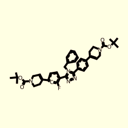 CC(C)(C)OC(=O)N1CC=C(c2ccc(-c3nnc(-c4ccc(C5=CCN(C(=O)OC(C)(C)C)CC5)cc4F)n3Cc3ccccc3)cc2)CC1